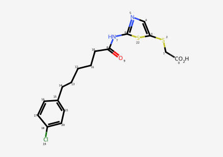 O=C(O)CSc1cnc(NC(=O)CCCCCc2ccc(Cl)cc2)s1